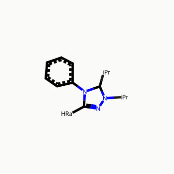 CC(C)C1N(c2ccccc2)[C]([RaH])=NN1C(C)C